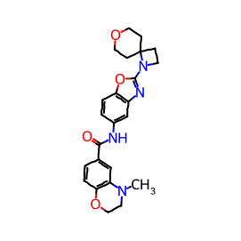 CN1CCOc2ccc(C(=O)Nc3ccc4oc(N5CCC56CCOCC6)nc4c3)cc21